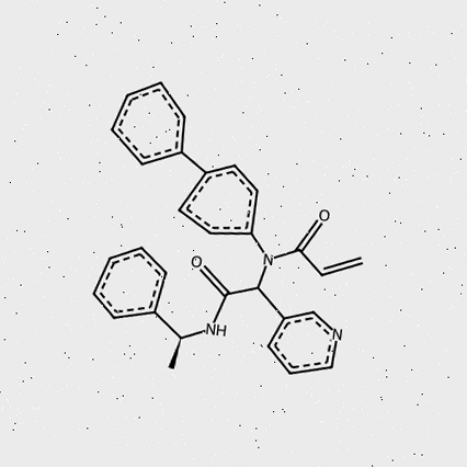 C=CC(=O)N(c1ccc(-c2ccccc2)cc1)C(C(=O)N[C@@H](C)c1ccccc1)c1cccnc1